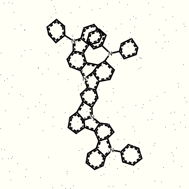 c1ccc(N(c2ccccc2)c2ccc3c4cc5c(cc4n4c6ccc7c(c8ccccc8n7-c7ccccc7)c6c2c34)c2cccc3c4c6c7ccccc7n(-c7ccccc7)c6ccc4n5c23)cc1